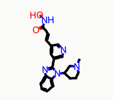 CN1CCCC(n2c(-c3cncc(C=CC(=O)NO)c3)nc3ccccc32)C1